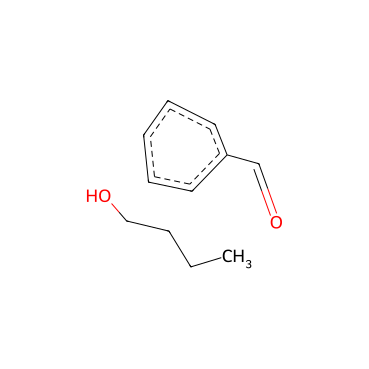 CCCCO.O=Cc1ccccc1